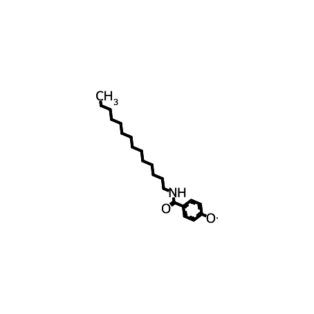 CCCCCCCCCCCCCCNC(=O)c1ccc([O])cc1